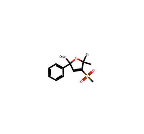 CCC1(C)OC(C=O)(c2ccccc2)C=C1S(C)(=O)=O